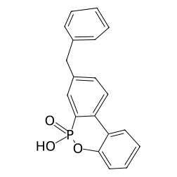 O=P1(O)Oc2ccccc2-c2ccc(Cc3ccccc3)cc21